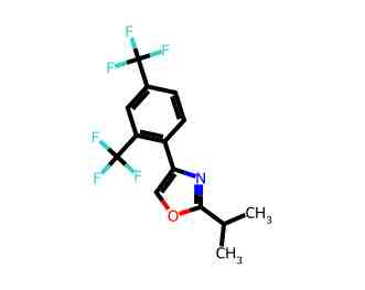 CC(C)c1nc(-c2ccc(C(F)(F)F)cc2C(F)(F)F)co1